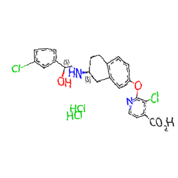 Cl.Cl.O=C(O)c1ccnc(Oc2ccc3c(c2)C[C@@H](NC[C@@H](O)c2cccc(Cl)c2)CC3)c1Cl